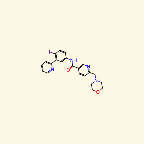 O=C(Nc1ccc(I)c(-c2ccccn2)c1)c1ccc(CN2CCOCC2)nc1